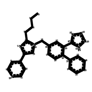 CCCCc1nc(-c2ccncc2)cn1Cc1ccc(-c2ccccc2)c(-c2nnn[nH]2)c1